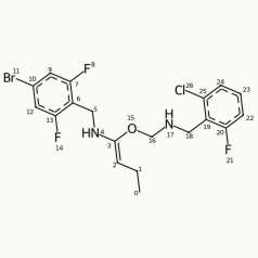 CCC=C(NCc1c(F)cc(Br)cc1F)OCNCc1c(F)cccc1Cl